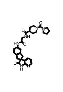 O=C(CNC(=O)C1CCN(C(=O)N2CCCC2)CC1)Nc1ccc2c(c1)CC1(C2)C(=O)Nc2ncccc21